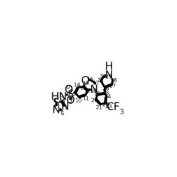 O=S(=O)(Nc1ncns1)c1ccc2c(c1)OCCN2c1ccc(C(F)(F)F)cc1C1=CCNCC1